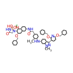 Cc1cc(CC(=O)Nc2ccc3c(F)c(N4CC(=O)NS4(O)O)c(OCc4ccccc4)cc3c2)ccc1Nc1ccc2c(-c3ccc(OCc4ccccc4)nc3OCc3ccccc3)nn(C)c2c1